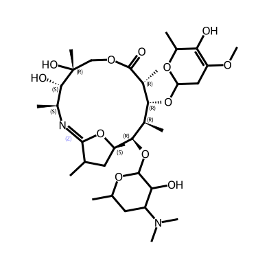 COC1=C(O)C(C)OC(O[C@@H]2[C@@H](C)[C@@H](OC3OC(C)CC(N(C)C)C3O)[C@]3(C)CC(C)/C(=N/[C@@H](C)[C@H](O)[C@](C)(O)COC(=O)[C@@H]2C)O3)C1